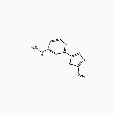 Cc1ncc(-c2cccc(NN)c2)s1